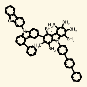 Bc1c(B)c(B)c2c(c1B)c1c(B)c(-c3ccc4c(c3)c3c(-c5ccccc5)cccc3n4-c3ccc4c(c3)oc3ccccc34)c(B)c(B)c1n2-c1ccc(-c2ccc(-c3ccccc3)cc2)cc1